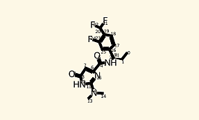 CC[C@@H](NC(=O)c1cc(=O)[nH]c(N(C)C)n1)c1ccc(C(F)F)c(F)c1